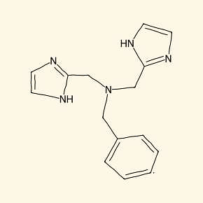 [c]1ccc(CN(Cc2ncc[nH]2)Cc2ncc[nH]2)cc1